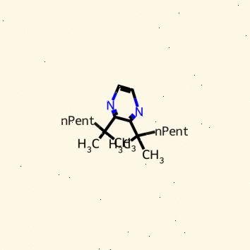 CCCCCC(C)(C)c1nccnc1C(C)(C)CCCCC